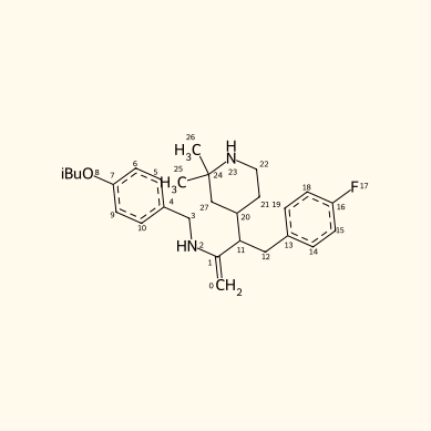 C=C(NCc1ccc(OCC(C)C)cc1)C(Cc1ccc(F)cc1)C1CCNC(C)(C)C1